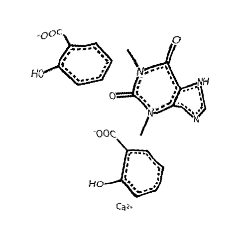 Cn1c(=O)c2[nH]cnc2n(C)c1=O.O=C([O-])c1ccccc1O.O=C([O-])c1ccccc1O.[Ca+2]